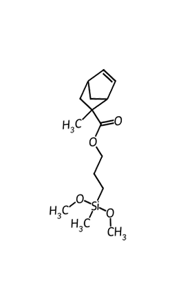 CO[Si](C)(CCCOC(=O)C1(C)CC2C=CC1C2)OC